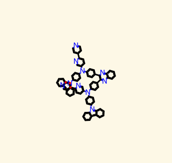 c1ccc2nc(-c3ccc(N(c4ccc(-n5c6ccccc6c6ccccc65)cc4)c4ccc(-c5ccncc5)nc4)cc3)c(-c3ccc(N(c4ccc(-n5c6ccccc6c6ccccc65)cc4)c4ccc(-c5ccncc5)nc4)cc3)nc2c1